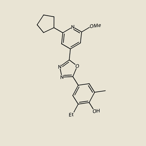 CCc1cc(-c2nnc(-c3cc(OC)nc(C4CCCC4)c3)o2)cc(C)c1O